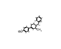 CC1C=C(c2ccc(C(C)(C)C)cc2)CCN1Cc1ccccc1